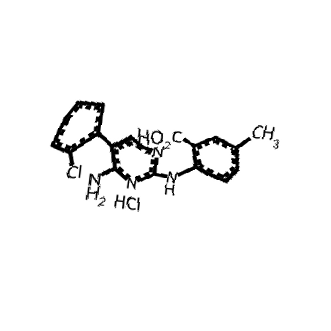 Cc1ccc(Nc2ncc(-c3ccccc3Cl)c(N)n2)c(C(=O)O)c1.Cl